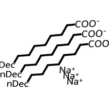 CCCCCCCCCCCCCCCCCC(=O)[O-].CCCCCCCCCCCCCCCCCC(=O)[O-].CCCCCCCCCCCCCCCCCC(=O)[O-].[Na+].[Na+].[Na+]